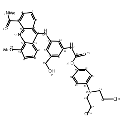 CNC(=O)c1cccc2c(Nc3cc(CO)cc(NC(=O)Oc4ccc(N(CCCl)CCCl)cc4)c3)c3cccc(OC)c3nc12